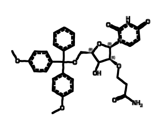 COc1ccc(C(OC[C@H]2O[C@@H](n3ccc(=O)[nH]c3=O)[C@@H](OCCC(N)=O)C2O)(c2ccccc2)c2ccc(OC)cc2)cc1